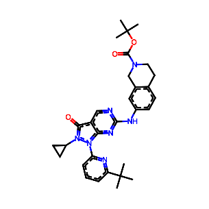 CC(C)(C)OC(=O)N1CCc2ccc(Nc3ncc4c(=O)n(C5CC5)n(-c5cccc(C(C)(C)C)n5)c4n3)cc2C1